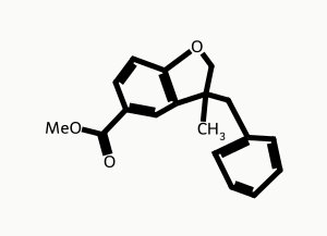 COC(=O)c1ccc2c(c1)C(C)(Cc1ccccc1)CO2